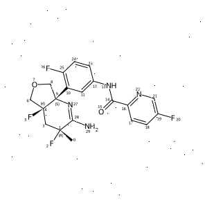 C[C@@]1(F)C[C@]2(F)COC[C@]2(c2cc(NC(=O)c3ccc(F)cn3)ccc2F)N=C1N